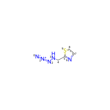 [N-]=[N+]=NNCc1nccs1